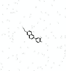 CCCc1ccc2cc(-c3ccc(F)c(F)c3)ccc2c1